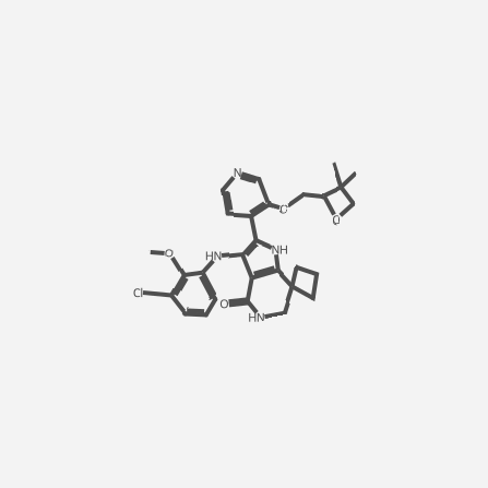 COc1c(Cl)cccc1Nc1c(-c2ccncc2OCC2OCC2(C)C)[nH]c2c1C(=O)NCC21CCC1